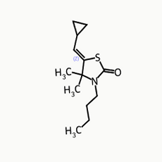 CCCCN1C(=O)S/C(=C\C2CC2)C1(C)C